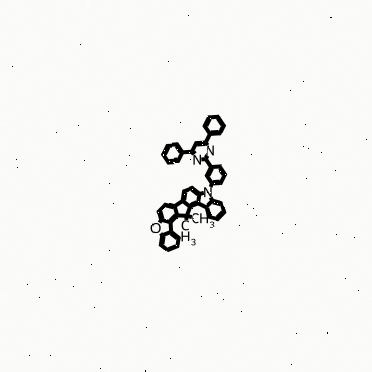 CC1(C)c2c(ccc3oc4ccccc4c23)-c2ccc3c(c21)c1ccccc1n3-c1cccc(-c2nc(-c3ccccc3)cc(-c3ccccc3)n2)c1